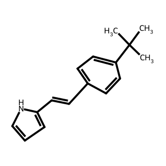 CC(C)(C)c1ccc(C=Cc2ccc[nH]2)cc1